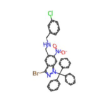 O=[N+]([O-])c1cc2c(cc1CNCc1cccc(Cl)c1)c(Br)nn2C(c1ccccc1)(c1ccccc1)c1ccccc1